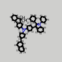 CC1(C)c2ccccc2-c2ccc(N(c3ccc(-c4ccc5ccccc5c4)cc3)c3ccc(-c4c(-c5ccccc5)n(-c5ccccc5)c5ccccc45)cc3)cc21